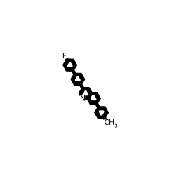 Cc1ccc(-c2ccc3cc(-c4ccc(-c5ccc(F)cc5)cc4)cnc3c2)cc1